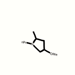 CCCN1CC(OC)CC1C